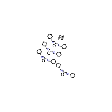 O=C(/C=C/c1ccccc1)/C=C/c1ccccc1.O=C(/C=C/c1ccccc1)/C=C/c1ccccc1.O=C(/C=C/c1ccccc1)/C=C/c1ccccc1.O=C(/C=C/c1ccccc1)/C=C/c1ccccc1.[Pd].[Pd]